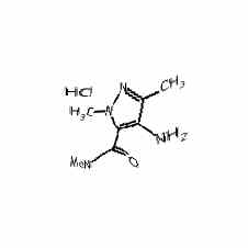 CNC(=O)c1c(N)c(C)nn1C.Cl